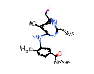 CNC(=O)c1ccc(C)c(Nc2nc(SC)nc(CI)c2C#N)c1